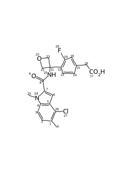 Cc1ccc2c(cc(C(=O)NC3(c4ccc(CC(=O)O)cc4F)COC3)n2C)c1Cl